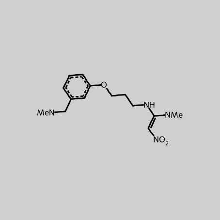 CNCc1cccc(OCCCNC(=C[N+](=O)[O-])NC)c1